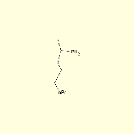 CCCCCCC(C)P